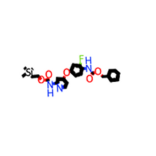 C[Si](C)(C)CCOC(=O)Nc1cc(Oc2ccc(NC(=O)OCc3ccccc3)c(F)c2)ccn1